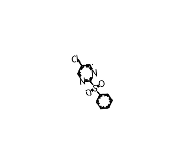 O=S(=O)(c1ccccc1)c1n[c]c(Cl)cn1